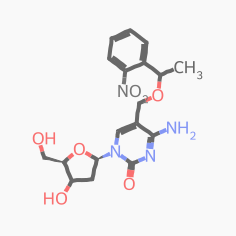 CC(OCc1cn([C@H]2CC(O)[C@@H](CO)O2)c(=O)nc1N)c1ccccc1[N+](=O)[O-]